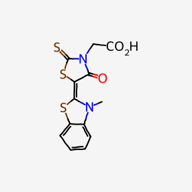 CN1C(=C2SC(=S)N(CC(=O)O)C2=O)Sc2ccccc21